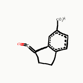 O=C=C1CCc2ccc(C(=O)O)cc21